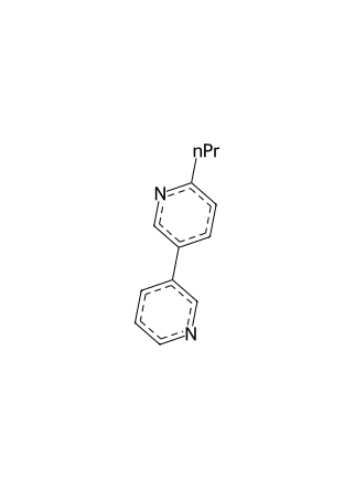 CCCc1ccc(-c2cccnc2)cn1